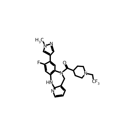 Cn1cc(-c2cc3c(cc2F)Nc2ncccc2CN3C(=O)C2CCN(CC(F)(F)F)CC2)cn1